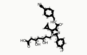 N#Cc1ccc(CNC(=O)c2nc(-c3ccc(F)cc3)n(CC[C@@H](O)C[C@@H](O)CC(=O)O)c2C2CC2)cc1